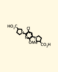 COc1nc(N2CCC(C(=O)O)C2)c(Cl)cc1N1CCC(C(=O)O)C1